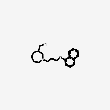 ClCC1CCCCN(CCCOc2cccc3ccccc23)C1